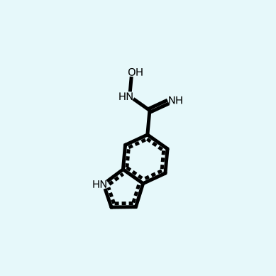 N=C(NO)c1ccc2cc[nH]c2c1